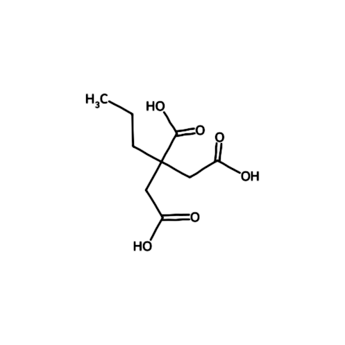 CCCC(CC(=O)O)(CC(=O)O)C(=O)O